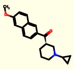 COc1ccc2cc(C(=O)[C@H]3CCCN(C4CC4)C3)ccc2c1